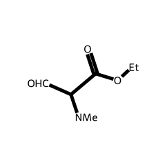 CCOC(=O)C(C=O)NC